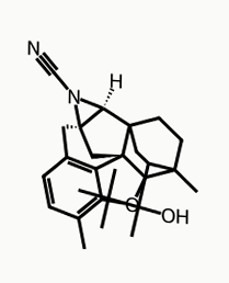 Cc1ccc2c3c1OC1C4(C)CCC5(CC4C(C)(O)C(C)(C)C)[C@@H]4N(C#N)[C@]4(C2)C[C@]315